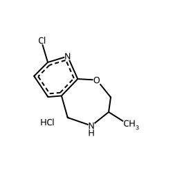 CC1COc2nc(Cl)ccc2CN1.Cl